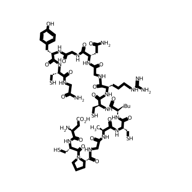 CC[C@H](C)[C@H](NC(=O)[C@H](CS)NC(=O)[C@H](C)NC(=O)CNC(=O)[C@@H]1CCCN1C(=O)[C@H](CS)NC(=O)[C@@H](N)CC(=O)O)C(=O)N[C@@H](CS)C(=O)N[C@@H](CCCNC(=N)N)C(=O)NCC(=O)N[C@@H](CC(N)=O)C(=O)NCC(=O)N[C@@H](Cc1ccc(O)cc1)C(=O)N[C@@H](CS)C(=O)NCC(N)=O